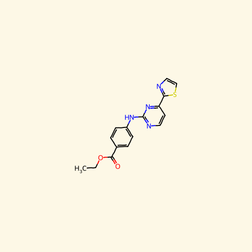 CCOC(=O)c1ccc(Nc2nccc(-c3nccs3)n2)cc1